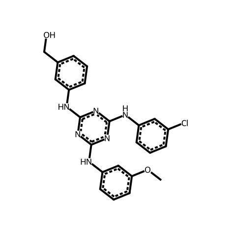 COc1cccc(Nc2nc(Nc3cccc(Cl)c3)nc(Nc3cccc(CO)c3)n2)c1